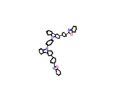 c1ccc2oc(-c3ccc(-c4ccc5c(c4)c4ccccc4n5-c4ccc(-n5c6ccccc6c6cc(-c7ccc(-c8nc9ccccc9o8)cc7)ccc65)cc4)cc3)nc2c1